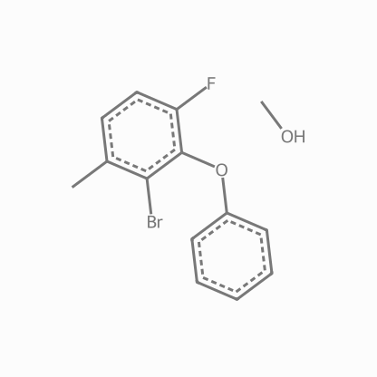 CO.Cc1ccc(F)c(Oc2ccccc2)c1Br